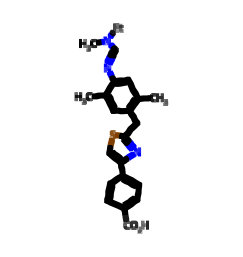 CCN(C)/C=N/c1cc(C)c(Cc2nc(-c3ccc(C(=O)O)cc3)cs2)cc1C